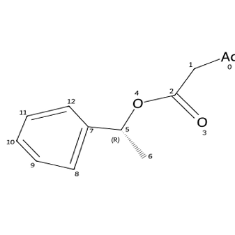 CC(=O)CC(=O)O[C@H](C)c1ccccc1